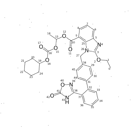 CCOc1nc2cccc(C(=O)OC(C)OC(=O)OC3CCCCC3)c2n1Cc1ccc(-c2ccccc2-c2noc(=O)[nH]2)cc1